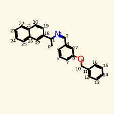 CC(/N=C\c1cccc(OCc2ccccc2)c1)c1ccc2ccccc2c1